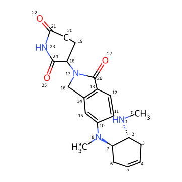 CN[C@@H]1CC=CC[C@H]1N(C)c1ccc2c(c1)CN(C1CCC(=O)NC1=O)C2=O